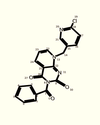 O=C(c1ccccc1)n1c(=O)nc2n(Cc3ccc(Cl)nc3)cccc-2c1=O